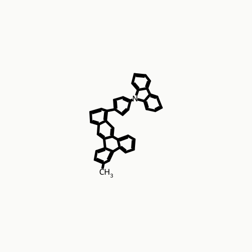 Cc1ccc2c(c1)c1ccccc1c1cc3c(-c4ccc(-n5c6ccccc6c6ccccc65)cc4)cccc3cc21